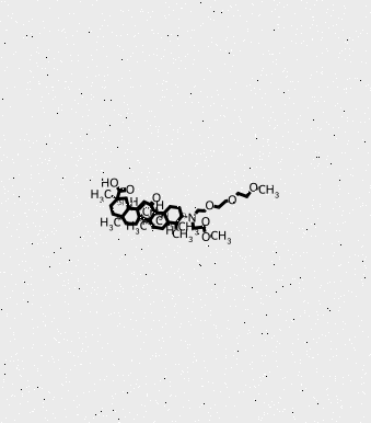 COCCOCCOCCN(CC(=O)OC)[C@H]1CC[C@]2(C)[C@H]3C(=O)C=C4[C@@H]5C[C@@](C)(C(=O)O)CC[C@]5(C)CC[C@@]4(C)[C@]3(C)CC[C@H]2C1(C)C